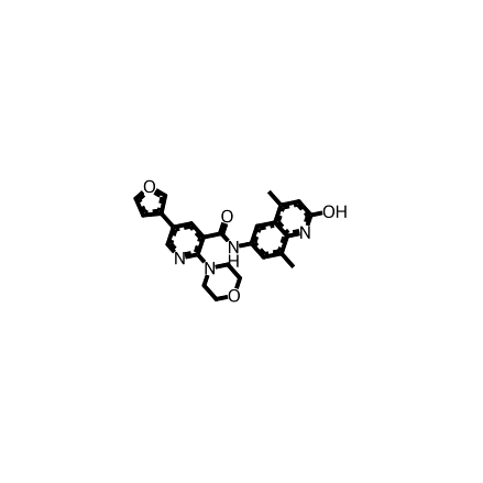 Cc1cc(O)nc2c(C)cc(NC(=O)c3cc(-c4ccoc4)cnc3N3CCOCC3)cc12